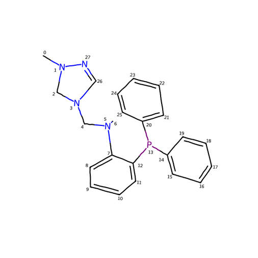 CN1CN(CN(C)c2ccccc2P(c2ccccc2)c2ccccc2)C=N1